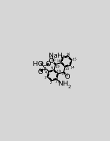 Nc1ccc(S(=O)(=O)O)c2c1C(=O)c1ccccc1C2=O.[NaH]